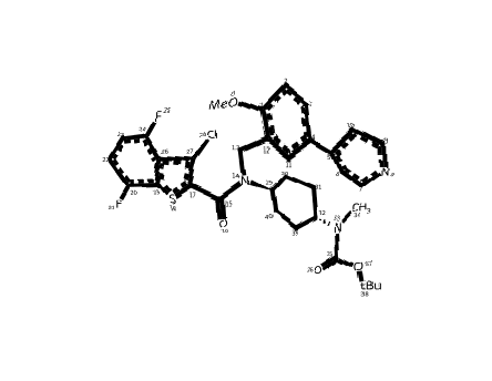 COc1ccc(-c2ccncc2)cc1CN(C(=O)c1sc2c(F)ccc(F)c2c1Cl)[C@H]1CC[C@H](N(C)C(=O)OC(C)(C)C)CC1